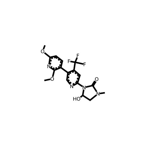 COc1ccc(-c2cnc(N3C(=O)N(C)CC3O)cc2C(F)(F)F)c(OC)n1